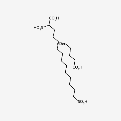 CCCCCCCCCCCCCC(=O)O.O=C(O)C(CCCCCCCCCCCCS(=O)(=O)O)S(=O)(=O)O